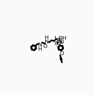 CC#CCOc1ccc(S(=O)(=O)N(O)[C@H](C)CCCNC(=O)CNCc2ccccc2)cc1